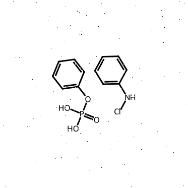 ClNc1ccccc1.O=P(O)(O)Oc1ccccc1